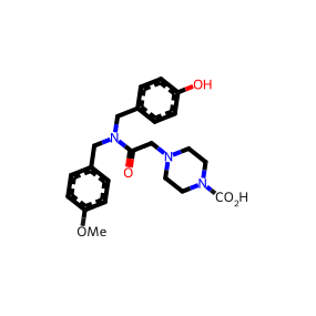 COc1ccc(CN(Cc2ccc(O)cc2)C(=O)CN2CCN(C(=O)O)CC2)cc1